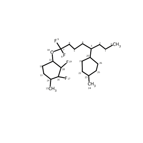 CCCC(CCCC(F)(F)OC1CCC(C)C(F)C1F)C1CCC(C)CC1